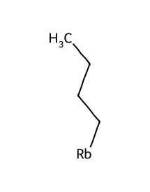 CCC[CH2][Rb]